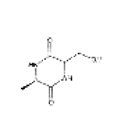 C[C@H]1NC(=O)C(CO)NC1=O